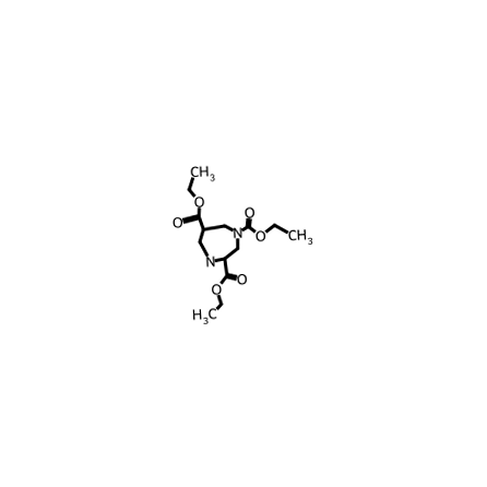 CCOC(=O)C1C[N]C(C(=O)OCC)CN(C(=O)OCC)C1